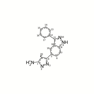 Nc1nnc(-c2ccc3[nH]nc(-c4ccccc4)c3c2)s1